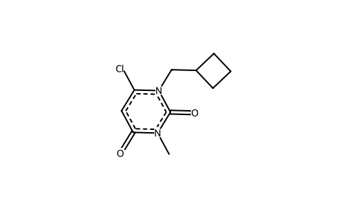 Cn1c(=O)cc(Cl)n(CC2CCC2)c1=O